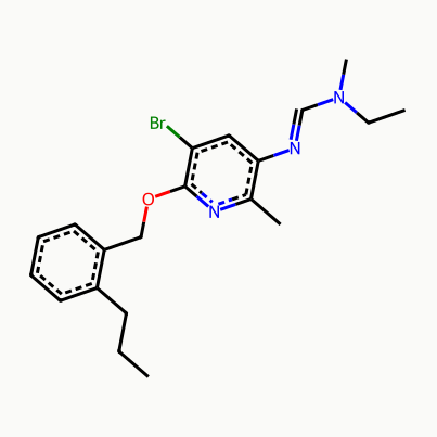 CCCc1ccccc1COc1nc(C)c(/N=C/N(C)CC)cc1Br